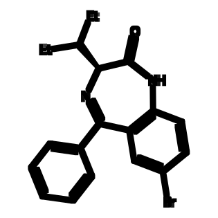 CCC(CC)[C@@H]1N=C(c2ccccc2)c2cc(Br)ccc2NC1=O